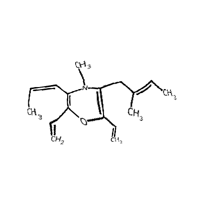 C=CC1=C(/C=C\C)N(C)C(C/C(C)=C/C)=C(C=C)O1